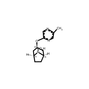 Cc1cnc(O[C@H]2C[C@H]3CC[C@@H](C2)N3C(=O)O)cn1